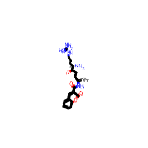 CCCC(CCC(=O)[C@@H](N)CCCNC(=N)N)NC(=O)c1cc2ccccc2oc1=O